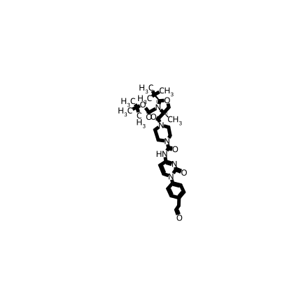 CC(C)(C)OC(=O)N1[C@@H](C(C)(C)C)OC[C@@]1(C)C(=O)N1CCN(C(=O)Nc2ccn(-c3ccc(CC=O)cc3)c(=O)n2)CC1